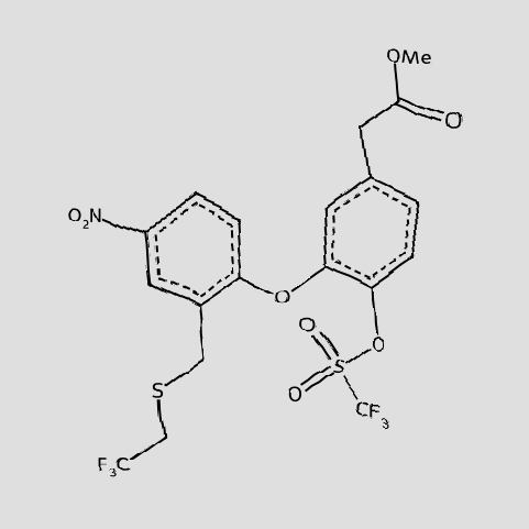 COC(=O)Cc1ccc(OS(=O)(=O)C(F)(F)F)c(Oc2ccc([N+](=O)[O-])cc2CSCC(F)(F)F)c1